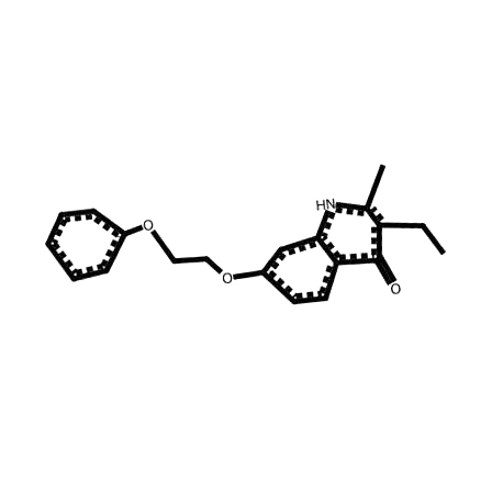 CCc1c(C)[nH]c2cc(OCCOc3ccccc3)ccc2c1=O